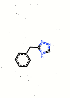 [c]1nnc(Cc2ccccc2)[nH]1